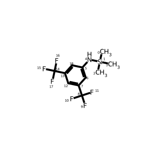 C[Si](C)(C)Nc1cc(C(F)(F)F)cc(C(F)(F)F)c1